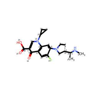 CN[C@@H](C)[C@H]1CCN(c2cc3c(cc2F)c(=O)c(C(=O)O)cn3C2CC2)C1